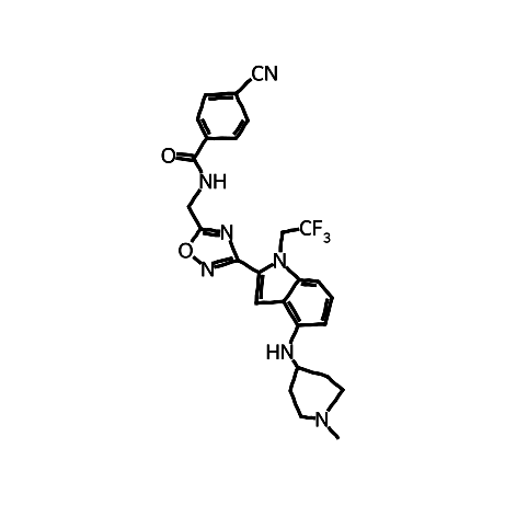 CN1CCC(Nc2cccc3c2cc(-c2noc(CNC(=O)c4ccc(C#N)cc4)n2)n3CC(F)(F)F)CC1